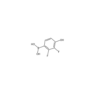 OB(O)c1ccc(O)c(F)c1F